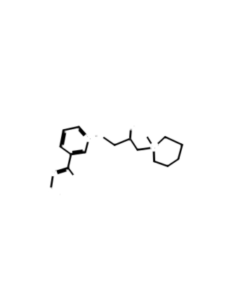 CN=C(Cl)c1ccc[n+](OCC(O)C[N+]2(C)CCCCC2)c1.[I-].[I-]